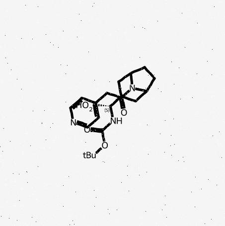 CC(C)(C)OC(=O)N[C@H](C(=O)O)C1CC2CCC(C1)N2C(=O)Cc1ccncc1